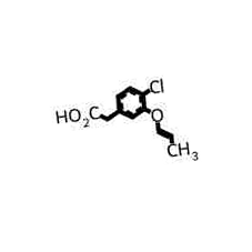 CC=COc1cc(CC(=O)O)ccc1Cl